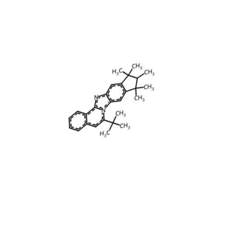 CC1C(C)(C)c2cc3nc4c5ccccc5cc(C(C)(C)C)n4c3cc2C1(C)C